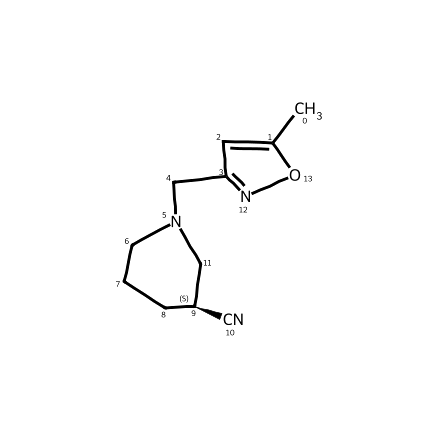 Cc1cc(CN2CCC[C@H](C#N)C2)no1